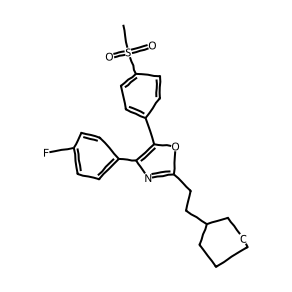 CS(=O)(=O)c1ccc(-c2oc(CCC3CCCCC3)nc2-c2ccc(F)cc2)cc1